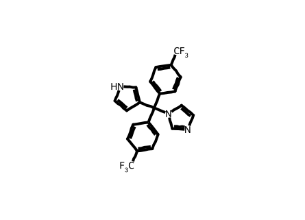 FC(F)(F)c1ccc(C(c2ccc(C(F)(F)F)cc2)(c2cc[nH]c2)n2ccnc2)cc1